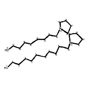 OCCCCCCCCCCN1CCCC1.OCCCCCCCCN1CCCC1